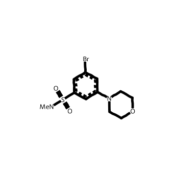 CNS(=O)(=O)c1cc(Br)cc(N2CCOCC2)c1